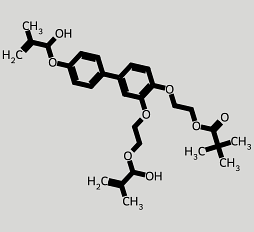 C=C(C)C(O)OCCOc1cc(-c2ccc(OC(O)C(=C)C)cc2)ccc1OCCOC(=O)C(C)(C)C